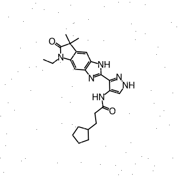 CCN1C(=O)C(C)(C)c2cc3[nH]c(-c4n[nH]cc4NC(=O)CCC4CCCC4)nc3cc21